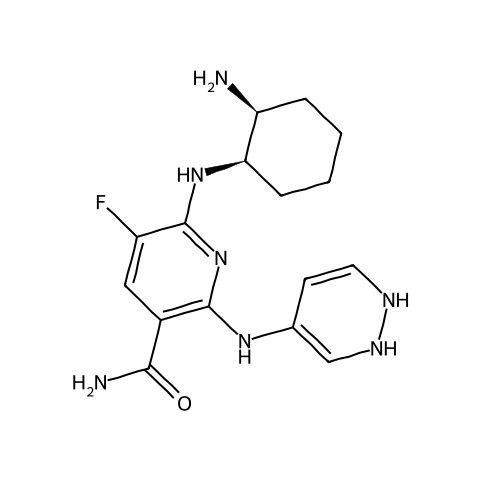 NC(=O)c1cc(F)c(N[C@@H]2CCCC[C@@H]2N)nc1NC1=CNNC=C1